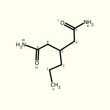 CCCC(CC(N)=O)CC(N)=O